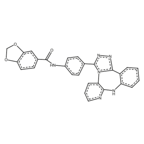 O=C(Nc1ccc(-c2nnc3n2-c2cccnc2Nc2ccccc2-3)cc1)c1ccc2c(c1)OCO2